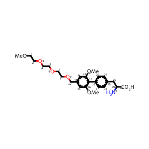 COCCOCCOCCOCc1cc(OC)c(-c2ccc(CC(N)C(=O)O)cc2)c(OC)c1